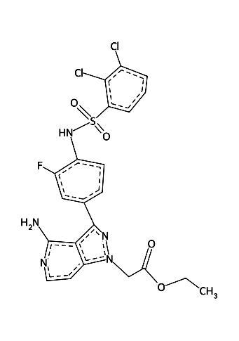 CCOC(=O)Cn1nc(-c2ccc(NS(=O)(=O)c3cccc(Cl)c3Cl)c(F)c2)c2c(N)nccc21